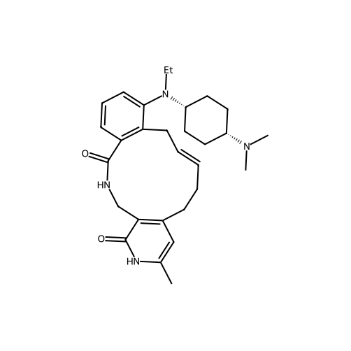 CCN(c1cccc2c1C/C=C/CCc1cc(C)[nH]c(=O)c1CNC2=O)[C@H]1CC[C@@H](N(C)C)CC1